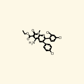 CCOC(=O)c1c(N)c2cc(-c3ccc(Cl)cc3)c(-c3ccc(Cl)cc3Cl)nc2n(C)c1=O